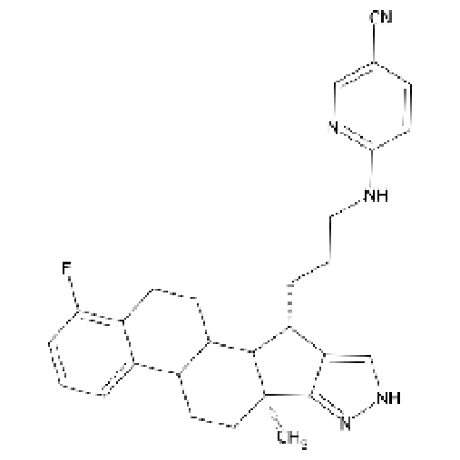 C[C@]12CCC3c4cccc(F)c4CCC3C1[C@H](CCCNc1ccc(C#N)cn1)c1c[nH]nc12